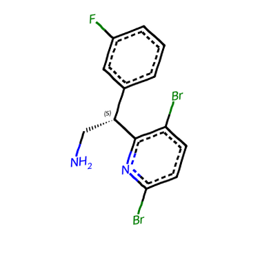 NC[C@H](c1cccc(F)c1)c1nc(Br)ccc1Br